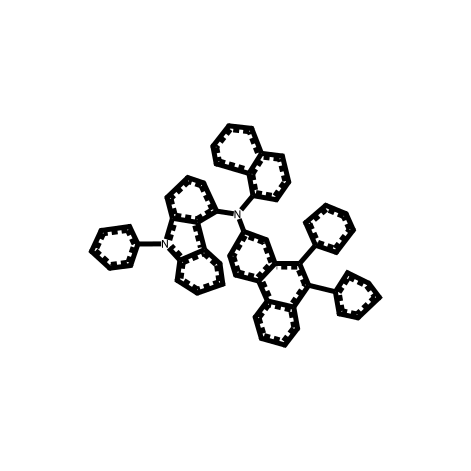 c1ccc(-c2c(-c3ccccc3)c3cc(N(c4cccc5ccccc45)c4cccc5c4c4ccccc4n5-c4ccccc4)ccc3c3ccccc23)cc1